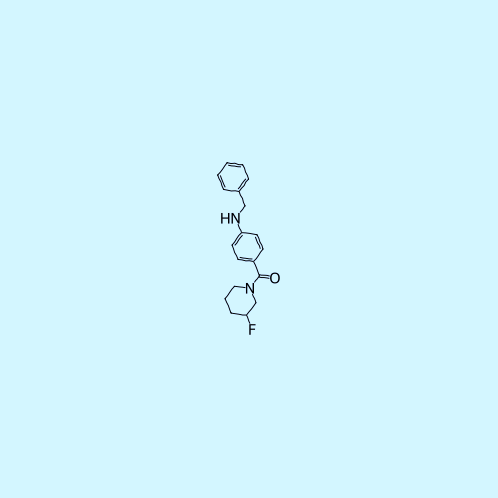 O=C(c1ccc(NCc2ccccc2)cc1)N1CCCC(F)C1